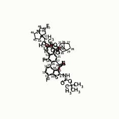 CC(C)(C)OC(=O)Nc1sc2c(F)ccc(-c3c(C(F)F)cc4c(N5CC6CCC(C5)N6C(=O)OC(C)(C)C)nc(OC[C@@]56CCCN5C[C@H](F)C6)nc4c3F)c2c1C#N